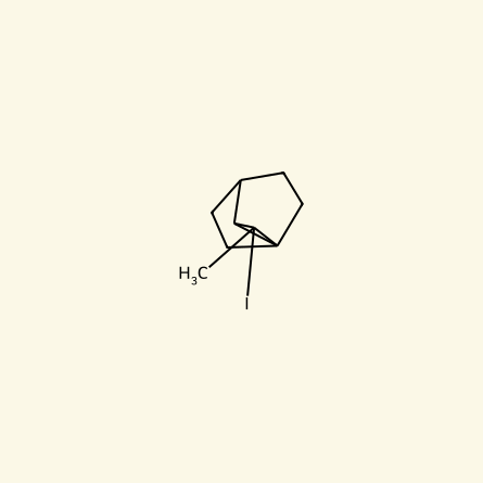 CC1(I)C2C3CCC21CC3